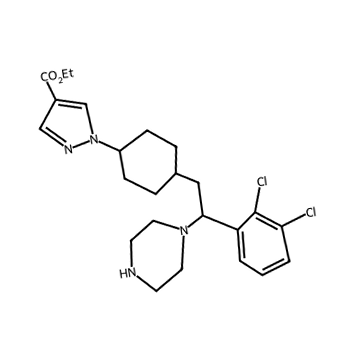 CCOC(=O)c1cnn(C2CCC(CC(c3cccc(Cl)c3Cl)N3CCNCC3)CC2)c1